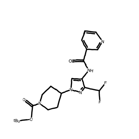 CC(C)(C)OC(=O)N1CCC(n2cc(NC(=O)c3cccnc3)c(C(F)F)n2)CC1